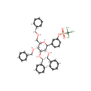 O=S(=O)(Oc1cccc(C2O[C@H](COCc3ccccc3)[C@@H](OCc3ccccc3)[C@H](OCc3ccccc3)[C@H]2OCc2ccccc2)c1)C(F)(F)F